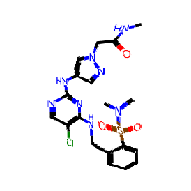 CNC(=O)Cn1cc(Nc2ncc(Cl)c(NCc3ccccc3S(=O)(=O)N(C)C)n2)cn1